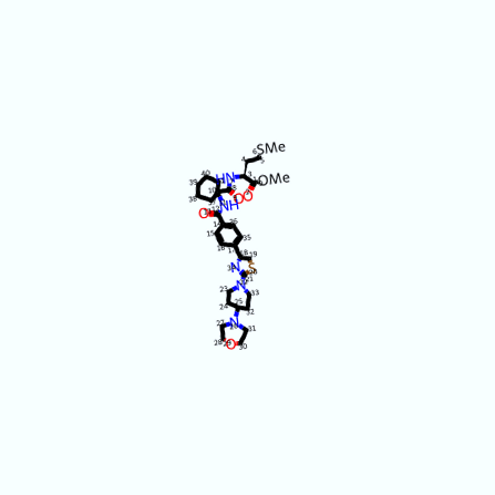 COC(=O)[C@H](CCSC)NC(=O)C1(NC(=O)c2ccc(C3CSC(N4CCC(N5CCOCC5)CC4)=N3)cc2)CCCCC1